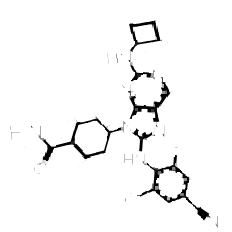 N#Cc1cc(F)c(Nc2nc3cnc(NC4CCC4)nc3n2C2CCC(C(N)=O)CC2)c(Cl)c1